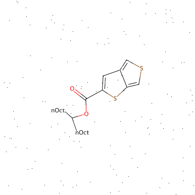 CCCCCCCCC(CCCCCCCC)OC(=O)c1cc2cscc2s1